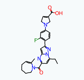 CCc1cc(C(=O)N2CCCCC=C2C)nc2cc(-c3ccc(N4CC=C(C(=O)O)C4)cc3F)nn12